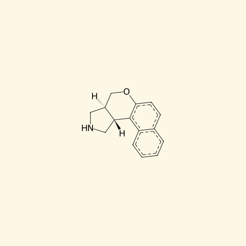 c1ccc2c3c(ccc2c1)OC[C@@H]1CNC[C@@H]31